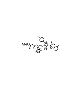 COC(=O)CC(=O)CC(/C=C/c1c(C(C)C)c(C(=O)N(C)Cc2ccccc2C)nn1-c1ccc(F)cc1)O[Si](C)(C)C(C)(C)C